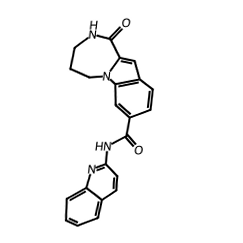 O=C(Nc1ccc2ccccc2n1)c1ccc2cc3n(c2c1)CCCNC3=O